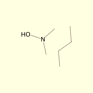 CCCC.CN(C)O